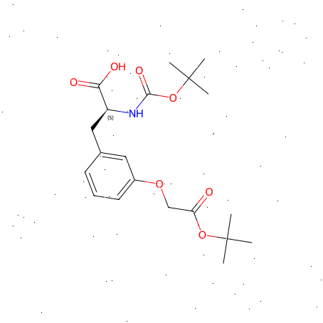 CC(C)(C)OC(=O)COc1cccc(C[C@H](NC(=O)OC(C)(C)C)C(=O)O)c1